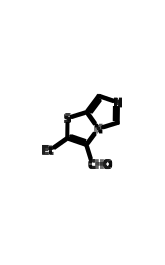 CCc1sc2cncn2c1C=O